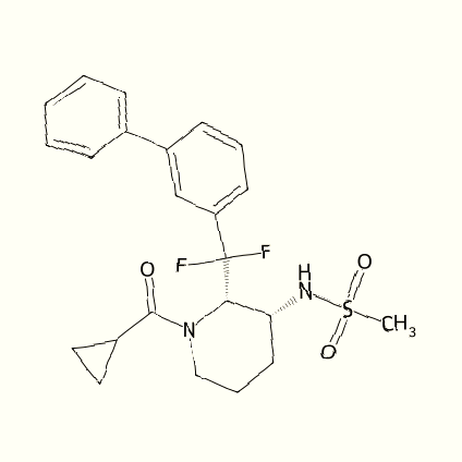 CS(=O)(=O)N[C@@H]1CCCN(C(=O)C2CC2)[C@@H]1C(F)(F)c1cccc(-c2ccccc2)c1